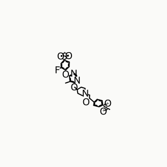 Cc1c(Oc2ccc(S(C)(=O)=O)cc2F)ncnc1OC1CCN(CC(=O)c2ccc(S(C)(=O)=O)cc2)CC1